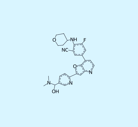 CN(C)C(O)c1ccc(-c2cc3nccc(-c4cc(F)c(NC5CCOCC5)c(C#N)c4)c3o2)nc1